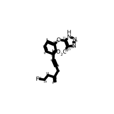 C=C(CC#Cc1cccc(Oc2[nH]nnc2C(=O)O)c1)CCF